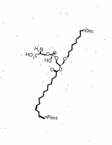 CCCCC/C=C\C/C=C\CCCCCCCCCC(=O)O[C@H](COCCCCCCCCCCCCCCCCCC)COP(=O)(O)OC[C@H](N)C(=O)O